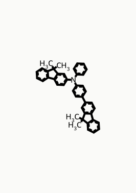 CC1(C)c2ccccc2-c2ccc(-c3ccc(N(c4ccccc4)c4ccc5c(c4)C(C)(C)c4ccccc4-5)cc3)cc21